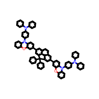 c1ccc(N(c2ccccc2)c2ccc(N3c4ccccc4Oc4cc(-c5cc6c7c(ccc8cc(-c9ccc%10c(c9)Oc9ccccc9N%10c9ccc(N(c%10ccccc%10)c%10ccccc%10)cc9)cc(c87)C6(c6ccccc6)c6ccccc6)c5)ccc43)cc2)cc1